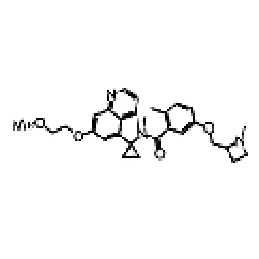 COCCOc1cc(C2(NC(=O)c3cc(OCC4CCN4C)ccc3C)CC2)c2cccnc2c1